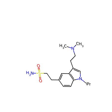 CC(C)n1cc(CCN(C)C)c2cc(CCS(N)(=O)=O)ccc21